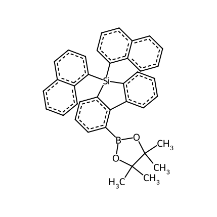 CC1(C)OB(c2cccc3c2-c2ccccc2[Si]3(c2cccc3ccccc23)c2cccc3ccccc23)OC1(C)C